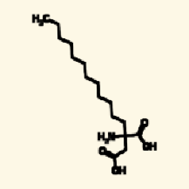 CCCCCCCCCCCCC(N)(CC(=O)O)C(=O)O